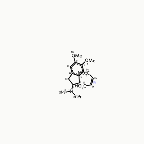 CCCN(CCC)C1Cc2cc(OC)c(OC)cc2C1.O=C(O)/C=C\C(=O)O